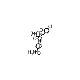 CC(C)N1CC(=O)N(Cc2ccc(Cl)cc2)C2(CCN(c3ccc(C(N)=O)cn3)C2)C1=O